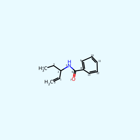 C=CC(CC)NC(=O)c1ccccc1